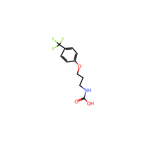 O=C(O)NCCCOc1ccc(C(F)(F)F)cc1